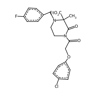 CCOC(=O)C1(C)C(=O)N(C(=O)COc2ccc(Cl)cc2)CCN1Cc1ccc(F)cc1